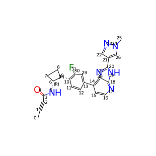 CC#CC(=O)N[C@@H]1CC[C@@H]1c1ccc(-c2ccnc3[nH]c(-c4cnn(C)c4)nc23)cc1F